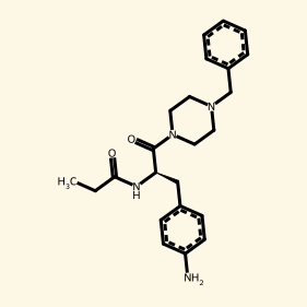 CCC(=O)N[C@H](Cc1ccc(N)cc1)C(=O)N1CCN(Cc2ccccc2)CC1